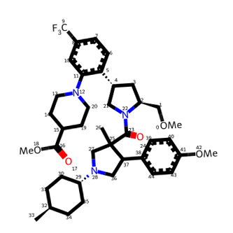 COC[C@@H]1C[C@@H](c2ccc(C(F)(F)F)cc2N2CCC(C(=O)OC)CC2)CN1C(=O)C1(C)CN([C@H]2CC[C@H](C)CC2)CC1c1ccc(OC)cc1